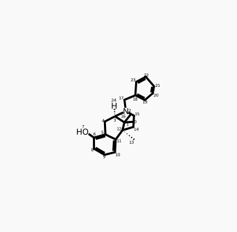 CC1(C)[C@H]2Cc3c(O)cccc3[C@]1(C)CCN2Cc1ccccc1